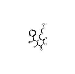 CCc1c(C(O)c2ccccc2)n(COCCO)c(=O)[nH]c1=O